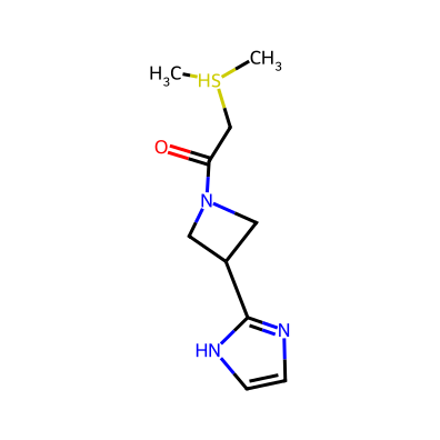 C[SH](C)CC(=O)N1CC(c2ncc[nH]2)C1